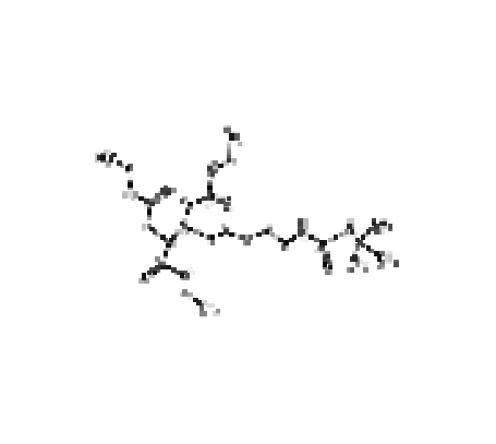 CCOC(=O)CC(C(=O)OCC)N(CCCCCNC(=O)OC(C)(C)C)CC(=O)OCC